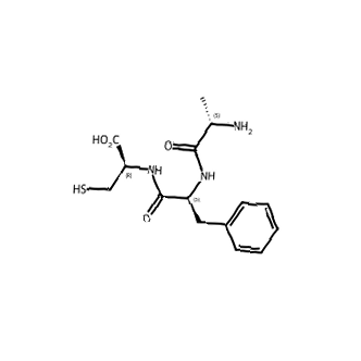 C[C@H](N)C(=O)N[C@@H](Cc1ccccc1)C(=O)N[C@@H](CS)C(=O)O